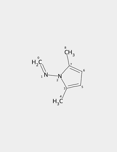 C=Nn1c(C)ccc1C